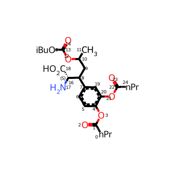 CCCC(=O)Oc1ccc(C(CC(C)OC(=O)OCC(C)C)[C@H](N)C(=O)O)cc1OC(=O)CCC